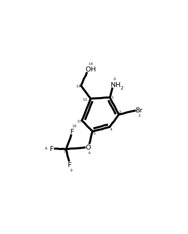 Nc1c(Br)cc(OC(F)(F)F)cc1CO